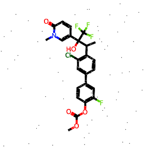 COC(=O)Oc1ccc(-c2ccc(C(C)C(O)(c3ccc(=O)n(C)c3)C(F)(F)F)c(Cl)c2)cc1F